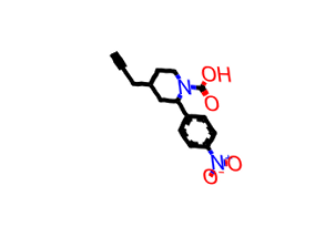 C#CCC1CCN(C(=O)O)C(c2ccc([N+](=O)[O-])cc2)C1